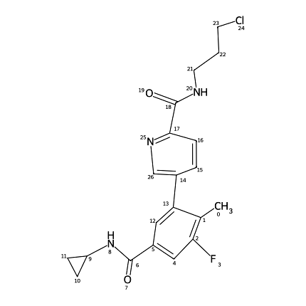 Cc1c(F)cc(C(=O)NC2CC2)cc1-c1ccc(C(=O)NCCCCl)nc1